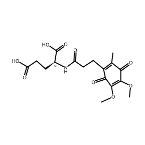 COC1=C(OC)C(=O)C(CCC(=O)N[C@@H](CCC(=O)O)C(=O)O)=C(C)C1=O